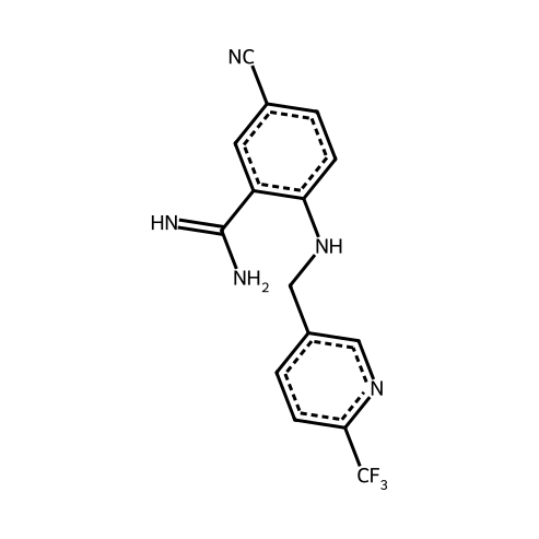 N#Cc1ccc(NCc2ccc(C(F)(F)F)nc2)c(C(=N)N)c1